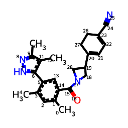 Cc1cc(C)c(-c2[nH]nc(C)c2C)cc1C(=O)N1CC(C2=CC=C(C#N)CC2)C1